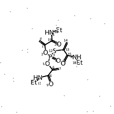 C=C(OP(=O)(OC(=C)C(=O)NCC)SC(=C)C(=O)NCC)C(=O)NCC